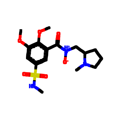 CNS(=O)(=O)c1cc(OC)c(OC)c(C(=O)[NH+]([O-])CC2CCCN2C)c1